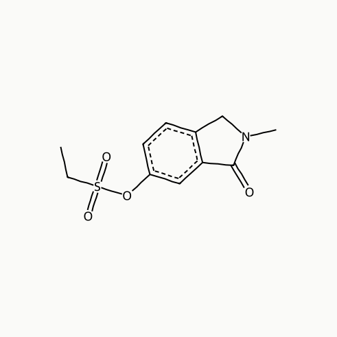 CCS(=O)(=O)Oc1ccc2c(c1)C(=O)N(C)C2